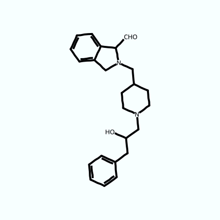 O=CC1c2ccccc2CN1CC1CCN(CC(O)Cc2ccccc2)CC1